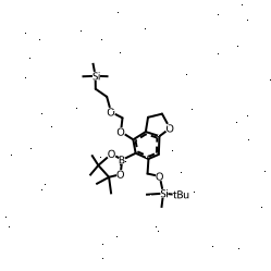 CC1(C)OB(c2c(CO[Si](C)(C)C(C)(C)C)cc3c(c2OCOCC[Si](C)(C)C)CCO3)OC1(C)C